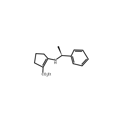 CCOC(=O)C1=C(N[C@@H](C)c2ccccc2)CCC1